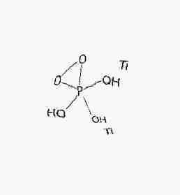 OP1(O)(O)OO1.[Ti].[Ti]